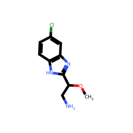 COC(CN)c1nc2cc(Cl)ccc2[nH]1